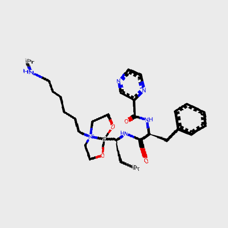 CC(C)C[C@H](NC(=O)[C@H](Cc1ccccc1)NC(=O)c1cnccn1)[B-]12OCC[N+]1(CCCCCCNC(C)C)CCO2